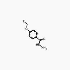 NNC(=O)c1ccc(OCF)cc1